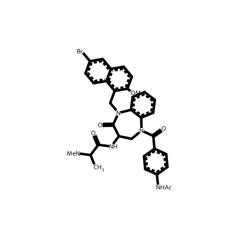 CNC(C)C(=O)NC1CN(C(=O)c2ccc(NC(C)=O)cc2)c2ccccc2N(Cc2c(OC)ccc3cc(Br)ccc23)C1=O